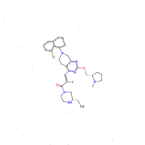 CN1CCC[C@H]1COc1nc(C=C(F)C(=O)N2CCN[C@@H](CC#N)C2)c2c(n1)CN(c1cccc3cccc(Cl)c13)CC2